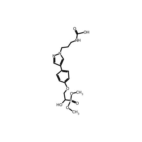 COP(=O)(OC)C(O)COc1ccc(-c2cnn(CCCNC(=O)O)c2)cc1